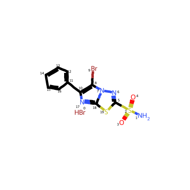 Br.NS(=O)(=O)c1nn2c(Br)c(-c3ccccc3)nc2s1